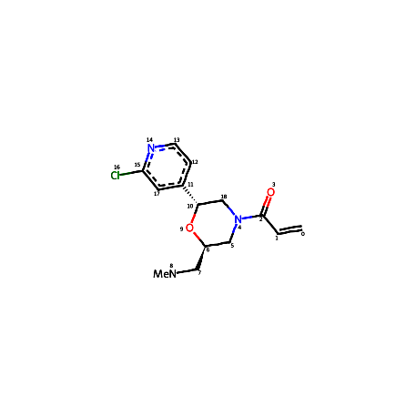 C=CC(=O)N1C[C@@H](CNC)O[C@H](c2ccnc(Cl)c2)C1